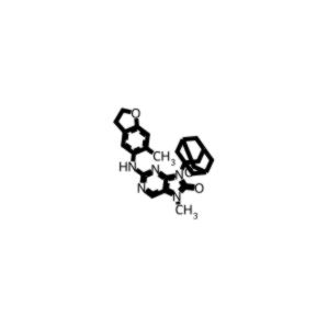 Cc1cc2c(cc1Nc1ncc3c(n1)n(C14CC5CC(C1)C(=O)C(C5)C4)c(=O)n3C)CCO2